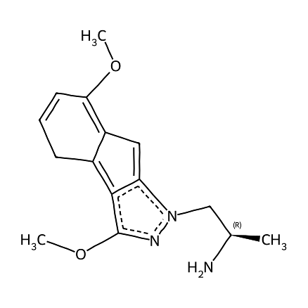 COC1=C2C=c3c(c(OC)nn3C[C@@H](C)N)=C2CC=C1